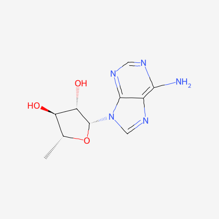 C[C@H]1O[C@@H](n2cnc3c(N)ncnc32)[C@@H](O)[C@@H]1O